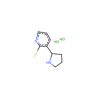 Cl.Cl.Fc1ncccc1C1CCCN1